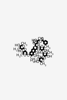 CO[C@H](C(=O)[C@@H](O)[C@@H](C)OC(=O)c1ccccc1)[C@@H]1Cc2cc3cc(O[C@H]4C[C@@H](O[C@H]5C[C@@H](C)[C@H](O)C(C)O5)[C@H](O)C(C)O4)c(C)c(O)c3c(O)c2C(=O)[C@H]1O[C@H]1C[C@@H](O[C@H]2C[C@@H](O[C@H]3C[C@](C)(O)[C@H](O)C(C)O3)[C@@H](O)C(C)O2)[C@H](O)C(C)O1